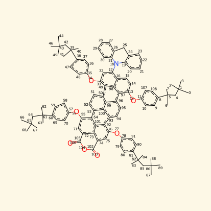 CC(C)(C)CC(C)(C)c1ccc(Oc2ccc3c(N4c5ccccc5Cc5ccccc54)cc(Oc4ccc(C(C)(C)CC(C)(C)C)cc4)c4c5ccc6c7c(Oc8ccc(C(C)(C)CC(C)(C)C)cc8)cc8c9c(cc(Oc%10ccc(C(C)(C)CC(C)(C)C)cc%10)c(c%10ccc(c2c34)c5c%106)c97)C(=O)OC8=O)cc1